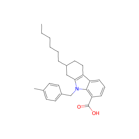 CCCCCCC1CCc2c(n(Cc3ccc(C)cc3)c3c(C(=O)O)cccc23)C1